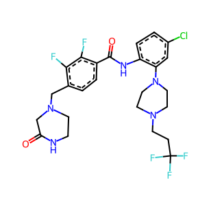 O=C1CN(Cc2ccc(C(=O)Nc3ccc(Cl)cc3N3CCN(CCC(F)(F)F)CC3)c(F)c2F)CCN1